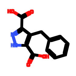 O=C(O)c1n[nH]c(C(=O)O)c1Cc1ccccc1